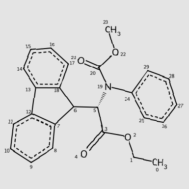 CCOC(=O)[C@H](C1c2ccccc2-c2ccccc21)N(C(=O)OC)c1ccccc1